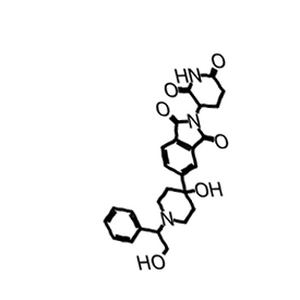 O=C1CCC(N2C(=O)c3ccc(C4(O)CCN(C(CO)c5ccccc5)CC4)cc3C2=O)C(=O)N1